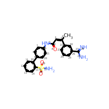 CC(=CC(=O)Nc1ccc(-c2ccccc2S(N)(=O)=O)cc1)c1cccc(C(=N)N)c1